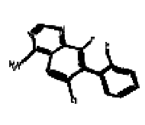 Nc1ncnc2c(F)c(-c3ccccc3F)c(Cl)cc12